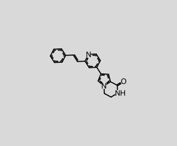 O=C1NCCn2cc(-c3ccnc(/C=C/c4ccccc4)c3)cc21